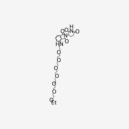 CCOCCOCCOCCOCCOCCOCCOCCNc1cccc2c1C(=O)N(C1CCC(=O)NC1=O)C2=O